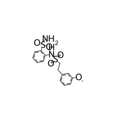 COc1cccc(CCS(=O)(=O)Nc2ccccc2S(N)(=O)=O)c1